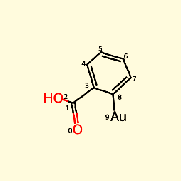 O=C(O)c1cccc[c]1[Au]